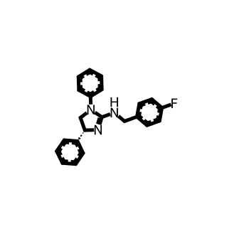 Fc1ccc(CNC2=N[C@H](c3ccccc3)CN2c2ccccc2)cc1